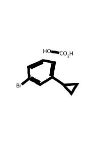 Brc1cccc(C2CC2)c1.O=C(O)O